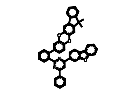 CC1(C)c2ccccc2-c2cc3c(cc21)Oc1ccc(-c2ccccc2-c2nc(-c4ccccc4)cc(-c4ccc5c(c4)oc4ccccc45)n2)cc1O3